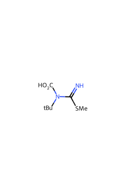 CSC(=N)N(C(=O)O)C(C)(C)C